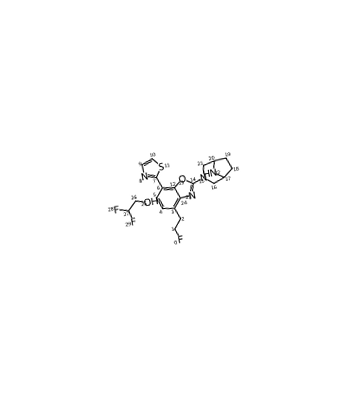 FCCc1ccc(-c2nccs2)c2oc(N3CC4CCC(C3)N4)nc12.OCC(F)F